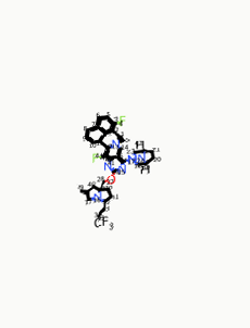 C#Cc1c(F)ccc2cccc(-c3ncc4c(N5C[C@H]6CC[C@@H](C5)N6)nc(OC[C@@]56CC[C@@H](CCC(F)(F)F)N5CC(=C)C6)nc4c3F)c12